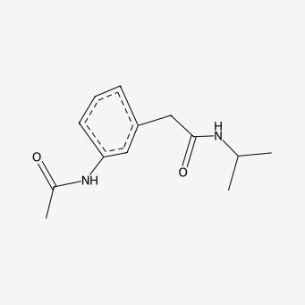 CC(=O)Nc1cccc(CC(=O)NC(C)C)c1